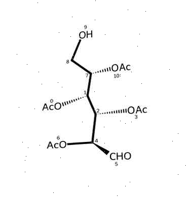 CC(=O)O[C@@H]([C@H](OC(C)=O)[C@@H](C=O)OC(C)=O)[C@H](CO)OC(C)=O